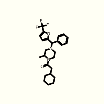 CC1CN(C(c2ccccc2)c2ccc(C(F)(F)F)o2)CCN1C(=O)CC1CCCCC1